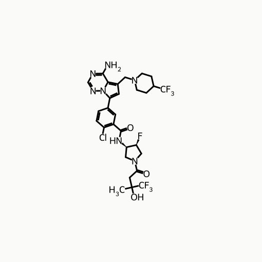 CC(O)(CC(=O)N1C[C@H](F)[C@H](NC(=O)c2cc(-c3cc(CN4CCC(C(F)(F)F)CC4)c4c(N)ncnn34)ccc2Cl)C1)C(F)(F)F